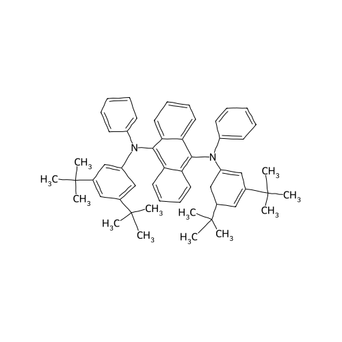 CC(C)(C)C1=CC(C(C)(C)C)CC(N(c2ccccc2)c2c3ccccc3c(N(c3ccccc3)c3cc(C(C)(C)C)cc(C(C)(C)C)c3)c3ccccc23)=C1